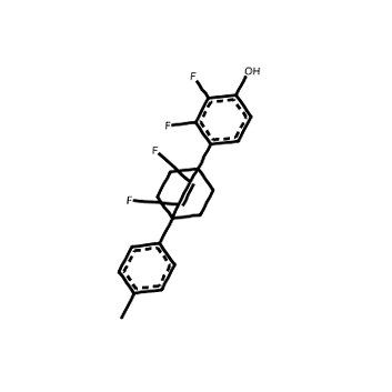 Cc1ccc(C23CCC(c4ccc(O)c(F)c4F)(CC2)C(F)=C3F)cc1